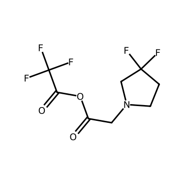 O=C(CN1CCC(F)(F)C1)OC(=O)C(F)(F)F